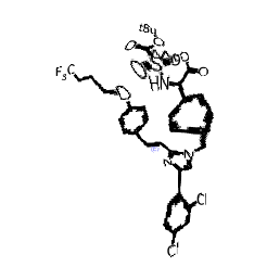 COC(=O)C(NS(=O)(=O)C(=O)OC(C)(C)C)c1ccc(Cn2cc(-c3ccc(Cl)cc3Cl)nc2/C=C/c2ccc(OCCCC(F)(F)F)cc2)cc1